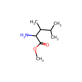 COC(=O)C(N)C(C)C(C)C